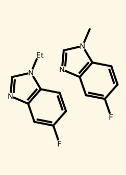 CCn1cnc2cc(F)ccc21.Cn1cnc2cc(F)ccc21